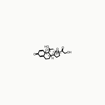 C[C@]12C=CC(=O)C=C1CC[C@@H]1C2C(O)C[C@]23O[C@]2(C(=O)CO)CC[C@@H]13